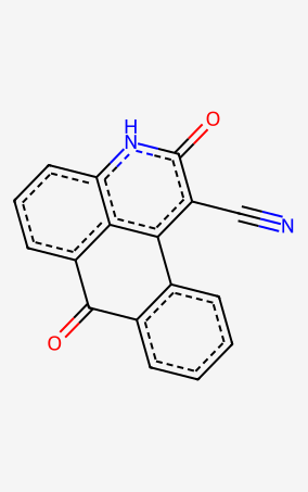 N#Cc1c2c3c(cccc3[nH]c1=O)C(=O)c1ccccc1-2